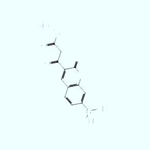 COC(=O)CC(=O)c1cc2ccc(N(C)C)cc2oc1=O